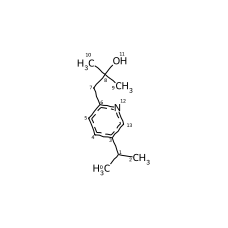 CC(C)c1ccc(CC(C)(C)O)nc1